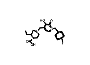 CCC1CN(Cc2ccn(Cc3ccc(F)cc3)c(=O)c2O)CCN1C(=O)O